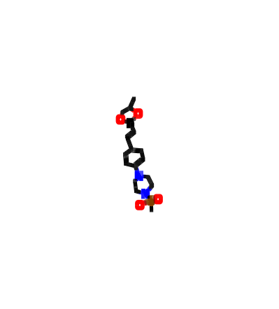 CC1COB(C=Cc2ccc(N3CCN(S(C)(=O)=O)CC3)cc2)O1